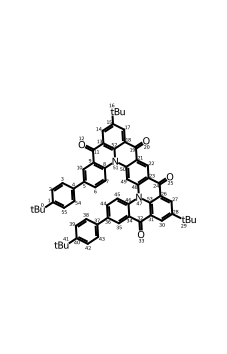 CC(C)(C)c1ccc(-c2ccc3c(c2)c(=O)c2cc(C(C)(C)C)cc4c(=O)c5cc6c(=O)c7cc(C(C)(C)C)cc8c(=O)c9cc(-c%10ccc(C(C)(C)C)cc%10)ccc9n(c6cc5n3c24)c87)cc1